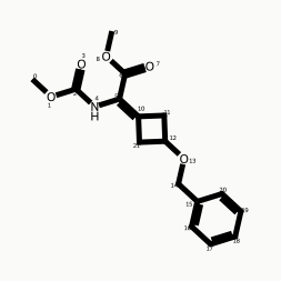 COC(=O)NC(C(=O)OC)=C1CC(OCc2ccccc2)C1